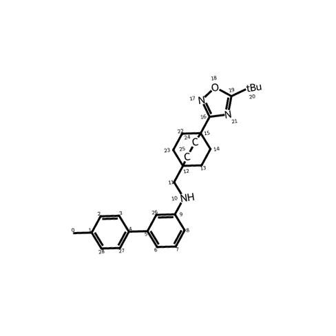 Cc1ccc(-c2cccc(NCC34CCC(c5noc(C(C)(C)C)n5)(CC3)CC4)c2)cc1